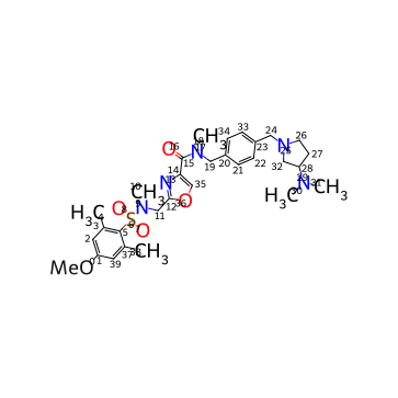 COc1cc(C)c(S(=O)(=O)N(C)Cc2nc(C(=O)N(C)Cc3ccc(CN4CCC(N(C)C)C4)cc3)co2)c(C)c1